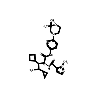 CC(C1CC1)C(C1CCC1)[C@H](NC(=O)c1ccnn1C)C(=O)Nc1ccc(N2CCOC(C)(C)C2)nc1